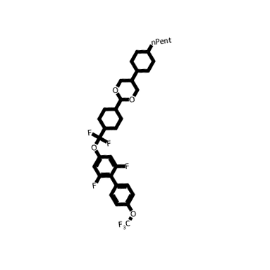 CCCCCC1CCC(C2COC(C3CCC(C(F)(F)Oc4cc(F)c(-c5ccc(OC(F)(F)F)cc5)c(F)c4)CC3)OC2)CC1